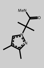 CNC(=O)C(C)(C)n1cc(C)c(C)n1